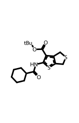 CC(C)(C)OC(=O)c1c(NC(=O)C2CCCCC2)sc2c1CSC2